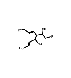 CC=CC(O)C(C=CCO)C(O)CC(C)C